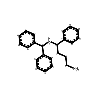 NCCCC(NC(c1ccccc1)c1ccccc1)c1ccccc1